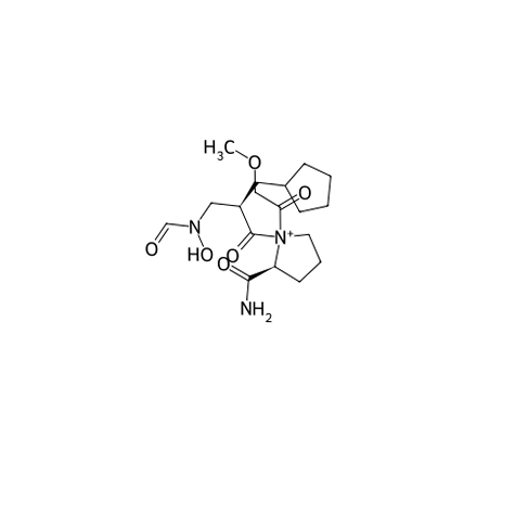 COCC(=O)[N+]1(C(=O)[C@H](CC2CCCC2)CN(O)C=O)CCC[C@H]1C(N)=O